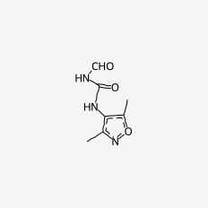 Cc1noc(C)c1NC(=O)NC=O